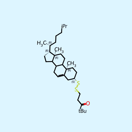 CC(C)CCC[C@@H](C)[C@H]1CCC2C3CC=C4C[C@@H](SSCCC(=O)C(C)(C)C)CC[C@]4(C)C3CC[C@@]21C